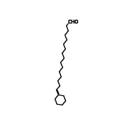 O=CCCCCCCCCCCCCCCC=C1CCCCC1